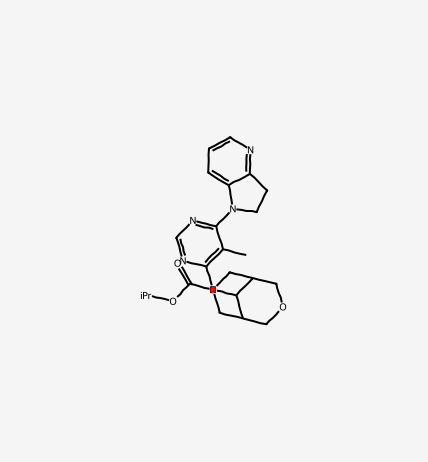 Cc1c(OC2C3COCC2CN(C(=O)OC(C)C)C3)ncnc1N1CCc2ncccc21